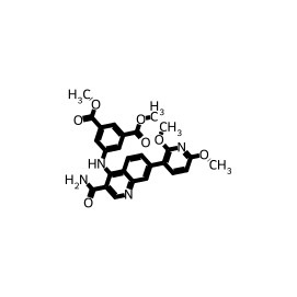 COC(=O)c1cc(Nc2c(C(N)=O)cnc3cc(-c4ccc(OC)nc4OC)ccc23)cc(C(=O)OC)c1